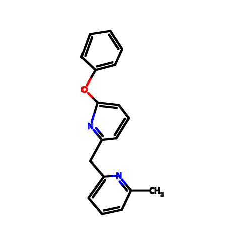 Cc1cccc(Cc2cccc(Oc3ccccc3)n2)n1